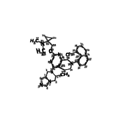 CC1Cn2cncc2CN1c1nc(OCC2(N(C)C)CC2)nc2c1CCN(c1cccc3cccc(Cl)c13)C2